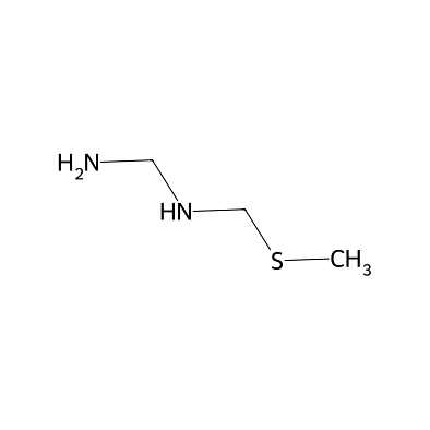 CSCNCN